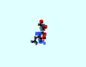 CC(C)CC(NC(=O)[C@H]1O[C@@H]1C=O)C(N)=O